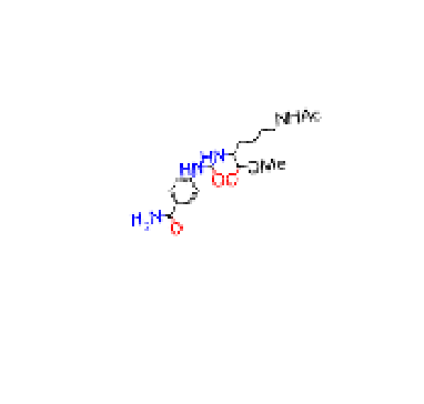 COC(=O)C(CCCCNC(C)=O)NC(=O)Nc1ccc(C(N)=O)cc1